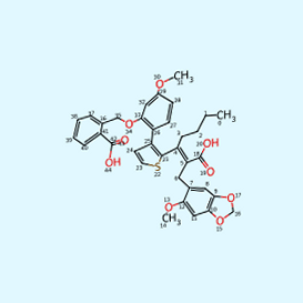 CCCCC(=C(Cc1cc2c(cc1OC)OCO2)C(=O)O)c1sccc1-c1ccc(OC)cc1OCc1ccccc1C(=O)O